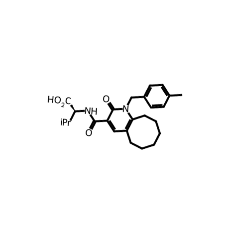 Cc1ccc(Cn2c3c(cc(C(=O)N[C@H](C(=O)O)C(C)C)c2=O)CCCCCC3)cc1